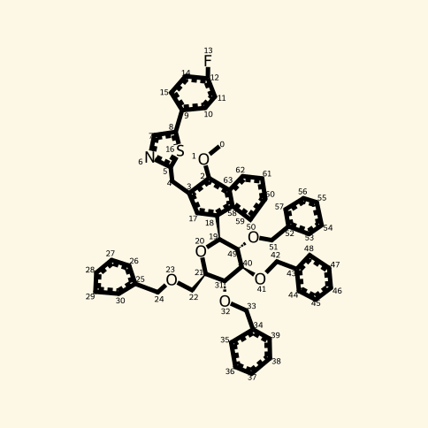 COc1c(Cc2ncc(-c3ccc(F)cc3)s2)cc([C@@H]2O[C@H](COCc3ccccc3)[C@@H](OCc3ccccc3)[C@H](OCc3ccccc3)[C@H]2OCc2ccccc2)c2ccccc12